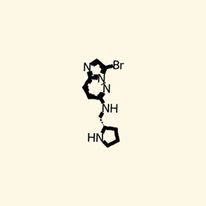 Brc1cnc2ccc(NC[C@@H]3CCCN3)nn12